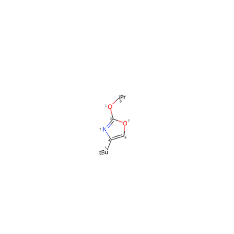 CC(C)Oc1nc(C(C)(C)C)co1